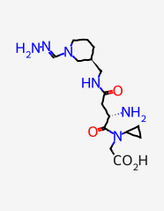 NN=CN1CCC[C@@H](CNC(=O)C[C@H](N)C(=O)N(CC(=O)O)C2CC2)C1